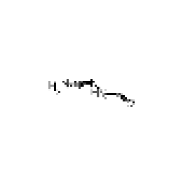 NN=NNC=O